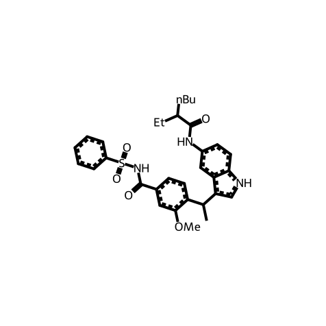 CCCCC(CC)C(=O)Nc1ccc2[nH]cc(C(C)c3ccc(C(=O)NS(=O)(=O)c4ccccc4)cc3OC)c2c1